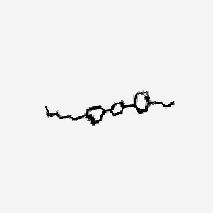 CCCCCCc1ccc(-c2ccc(-c3ccc(CCC)nc3)cc2)cc1